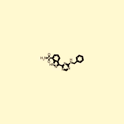 NS(=O)(=O)c1cccc2c(-c3ncnc(NCc4ccccc4)n3)n[nH]c12